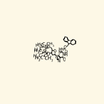 CC(C)[Si]1(C(C)C)OCC2OC(n3cnc4c(=O)[nH]c(NC(=O)OCC5c6ccccc6-c6ccccc65)nc43)CC2O[Si](C(C)C)(C(C)C)O1